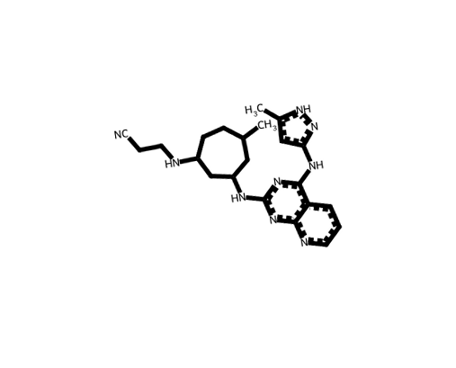 Cc1cc(Nc2nc(NC3CC(C)CCC(NCCC#N)C3)nc3ncccc23)n[nH]1